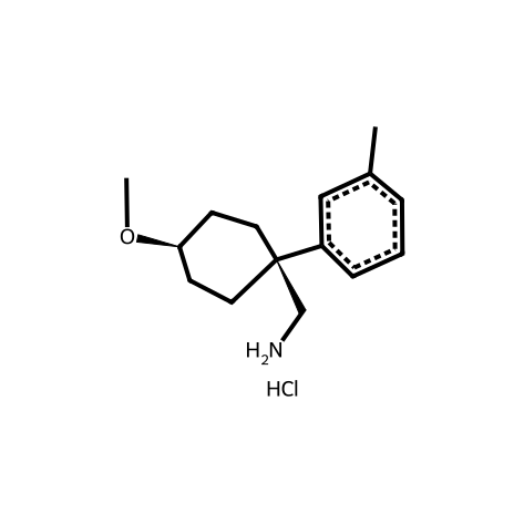 CO[C@H]1CC[C@](CN)(c2cccc(C)c2)CC1.Cl